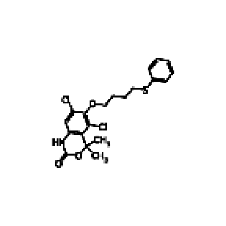 CC1(C)OC(=O)Nc2cc(Cl)c(OCCCCSc3ccccc3)c(Cl)c21